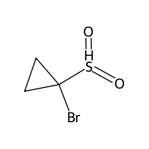 O=[SH](=O)C1(Br)CC1